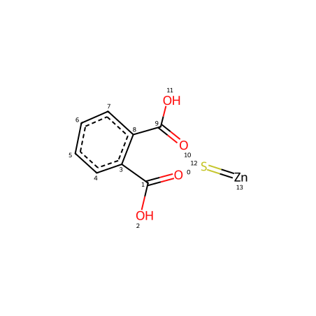 O=C(O)c1ccccc1C(=O)O.[S]=[Zn]